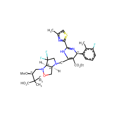 CCOC(=O)C1=C(CN2CC(F)(F)[C@H]3[C@@H]2CON3C[C@H](OC)C(C)(C)C(=O)O)NC(c2nc(C)cs2)=N[C@H]1c1cccc(F)c1C